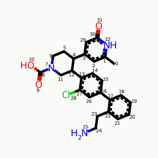 Cc1cc(C2CCN(C(=O)O)CC2c2ccc(-c3ccccc3CCN)cc2Cl)cc(=O)[nH]1